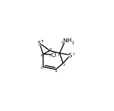 NC12SC1C=CC1(Cl)SC12